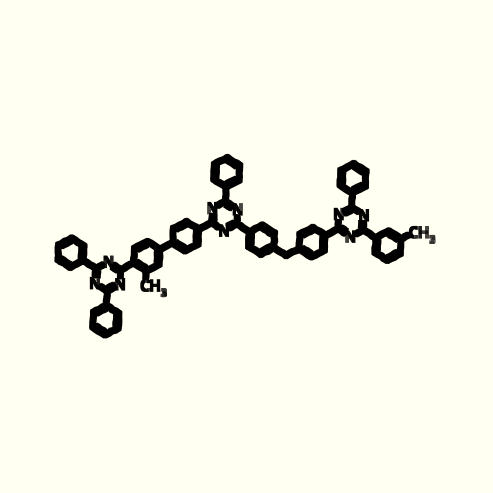 Cc1cccc(-c2nc(-c3ccccc3)nc(-c3ccc(Cc4ccc(-c5nc(-c6ccccc6)nc(-c6ccc(-c7ccc(-c8nc(-c9ccccc9)nc(-c9ccccc9)n8)c(C)c7)cc6)n5)cc4)cc3)n2)c1